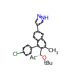 CC(=O)[C@@H](OC(C)(C)C)c1c(C)cc2cc(-c3cn[nH]c3)ccc2c1-c1ccc(Cl)cc1